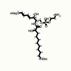 CCCCCCC/C=C/C=C/[C@@H](O)[C@H](COP(=O)(O)OCCN)NC(=O)C(O)CCCCCCCCCCCCCCCCCC